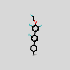 CCCC1CCC(c2ccc(-c3cc(F)c(OCCF)c(F)c3)c(F)c2)CC1